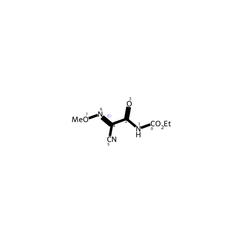 [CH2]COC(=O)NC(=O)/C(C#N)=N/OC